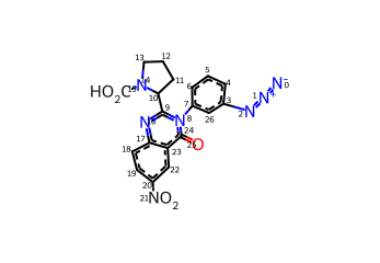 [N-]=[N+]=Nc1cccc(-n2c(C3CCCN3C(=O)O)nc3ccc([N+](=O)[O-])cc3c2=O)c1